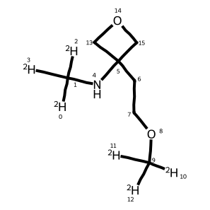 [2H]C([2H])([2H])NC1(CCOC([2H])([2H])[2H])COC1